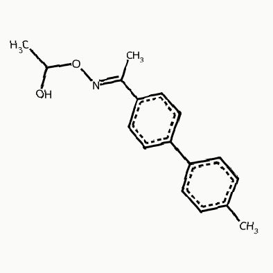 CC(=NOC(C)O)c1ccc(-c2ccc(C)cc2)cc1